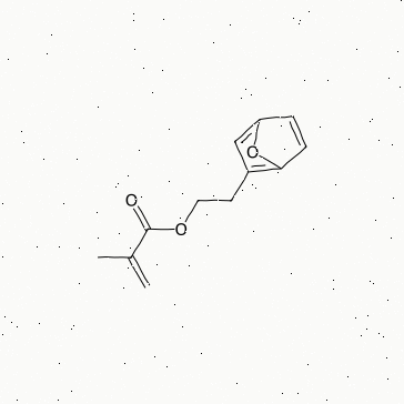 C=C(C)C(=O)OCCc1cc2ccc1o2